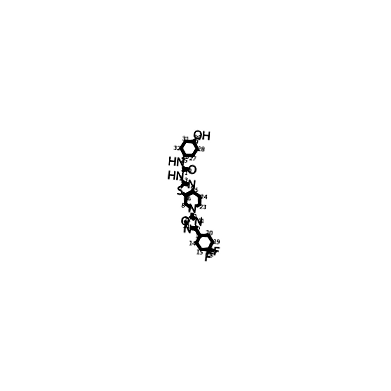 O=C(Nc1nc2c(s1)CN(c1nc(C3CCC(F)(F)CC3)no1)CC2)N[C@H]1CC[C@H](O)CC1